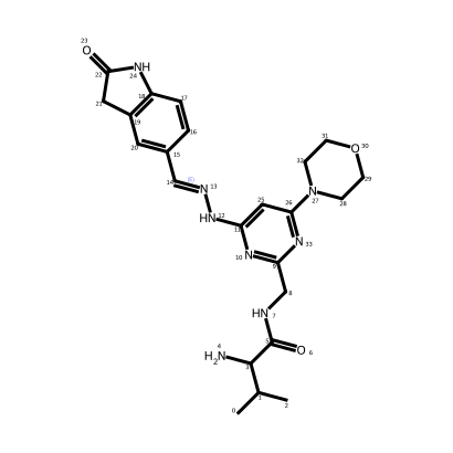 CC(C)C(N)C(=O)NCc1nc(N/N=C/c2ccc3c(c2)CC(=O)N3)cc(N2CCOCC2)n1